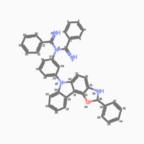 N=C(c1ccccc1)N(C(=N)c1ccccc1)c1cccc(-n2c3ccccc3c3c4c(ccc32)NC(c2ccccc2)O4)c1